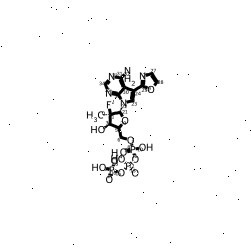 C[C@@]1(F)[C@H](O)C(COP(=O)(O)OP(=O)(O)OP(=O)(O)O)O[C@H]1n1cc(-c2ncco2)c2c(N)ncnc21